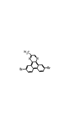 Cc1cnc2c3cc(Br)ccc3c3ccc(Br)cc3c2n1